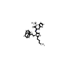 CCCCc1ncc(/C=C(\Cc2cccs2)C(=O)OC)n1CCC12CC3CC(CC(C3)C1)C2